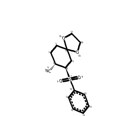 N#C[C@@H]1CCC2(C[C@H]1S(=O)(=O)c1ccccc1)OCCO2